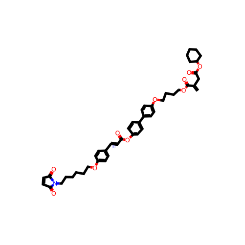 C=C(CC(=O)OC1CCCCC1)C(=O)OCCCCOc1ccc(-c2ccc(OC(=O)/C=C/c3ccc(OCCCCCCN4C(=O)C=CC4=O)cc3)cc2)cc1